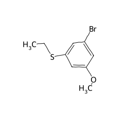 CCSc1cc(Br)cc(OC)c1